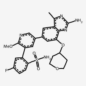 COc1ncc(-c2cc(OC3CCOCC3)c3nc(N)nc(C)c3c2)cc1-c1cc(F)ccc1S(N)(=O)=O